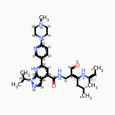 C/C=C(/C)N/C(CCC)=C(\C=O)CNC(=O)c1cc(-c2ccc(N3CCN(C)CC3)nc2)nc2c1cnn2C(C)C